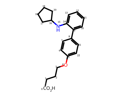 O=C(O)CCCOc1ccc(-c2ccccc2NC2CCCC2)cc1